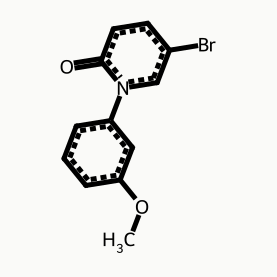 COc1cccc(-n2cc(Br)ccc2=O)c1